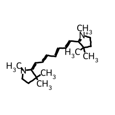 CN1CCC(C)(C)\C1=C/C=C/C=C/C=C/C1=[N+](C)CCC1(C)C